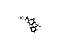 C[C@@H](NC1CCCN(C(=O)O)CC1)c1ccccc1